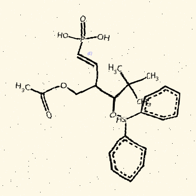 CC(=O)OCC(/C=C/P(=O)(O)O)C(O[SiH](c1ccccc1)c1ccccc1)C(C)(C)C